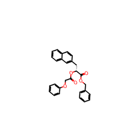 O=C(COc1ccccc1)O[C@H](Cc1ccc2ccccc2c1)C(=O)OCc1ccccc1